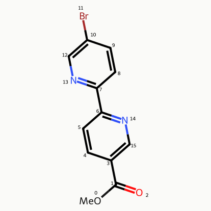 COC(=O)c1ccc(-c2ccc(Br)cn2)nc1